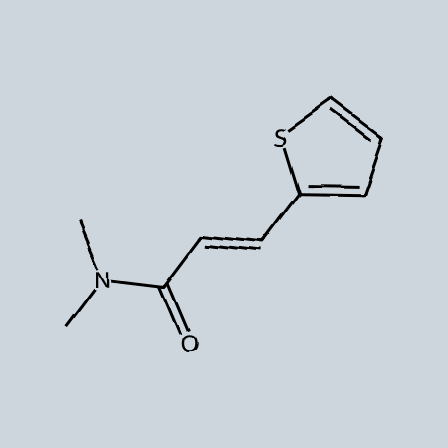 CN(C)C(=O)C=Cc1cccs1